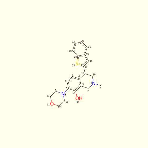 CN1Cc2c(ccc(N3CCOCC3)c2O)C(c2cc3ccccc3s2)C1